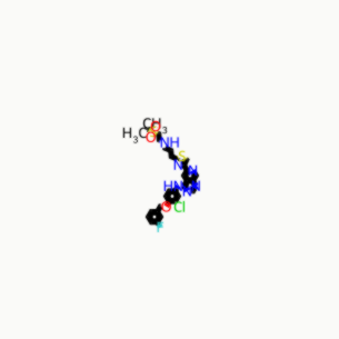 CC(C)S(=O)(=O)CCNCCCc1nc(-c2cc3c(Nc4ccc(OCc5cccc(F)c5)c(Cl)c4)ncnc3cn2)cs1